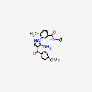 COc1ccc(C(=O)c2cnn(-c3cc(C(=O)NC4CC4)ccc3C)c2N)cc1